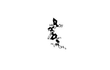 CN(C)CCNc1ccc(-c2nc3c(C(=O)NC4CCCC4CO)ccnc3[nH]2)cc1